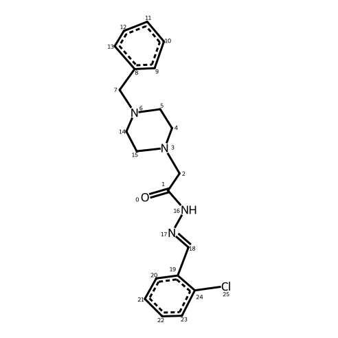 O=C(CN1CCN(Cc2ccccc2)CC1)N/N=C/c1ccccc1Cl